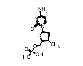 C[C@H]1C[C@H](n2ccc(N)nc2=O)O[C@@H]1COP(=O)(O)O